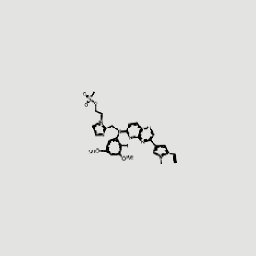 C=Cc1cc(-c2cnc3ccc(N(Cc4nccn4CCOS(C)(=O)=O)c4cc(OC)cc(OC)c4F)nc3n2)cn1C